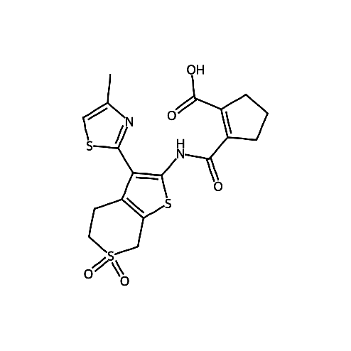 Cc1csc(-c2c(NC(=O)C3=C(C(=O)O)CCC3)sc3c2CCS(=O)(=O)C3)n1